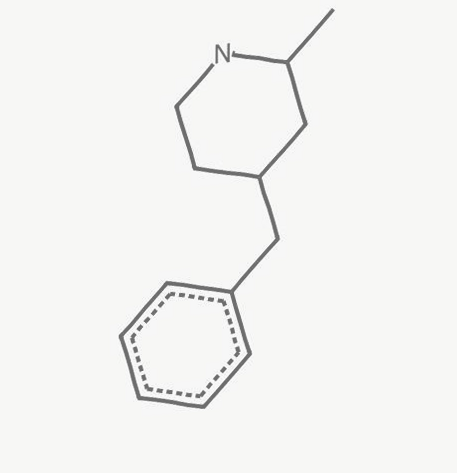 CC1CC(Cc2ccccc2)CC[N]1